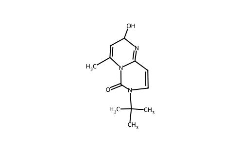 CC1=CC(O)N=C2C=CN(C(C)(C)C)C(=O)N12